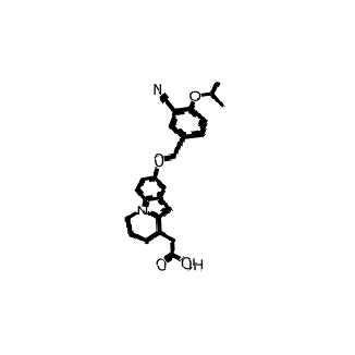 CC(C)Oc1ccc(COc2ccc3c(c2)cc2n3CCCC2CC(=O)O)cc1C#N